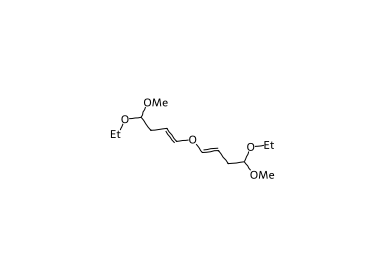 CCOC(CC=COC=CCC(OC)OCC)OC